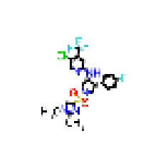 Cc1nc(S(=O)(=O)N2C[C@H](Nc3cc(C(F)(F)F)c(Cl)cn3)[C@@H](c3ccc(F)cc3)C2)cn1C